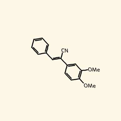 COc1ccc(C(C#N)=Cc2ccccc2)cc1OC